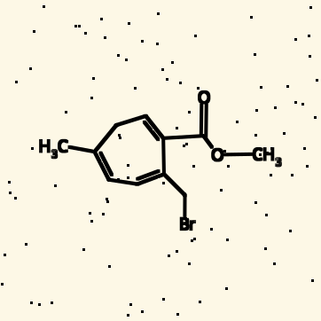 COC(=O)C1=CCC(C)=CC=C1CBr